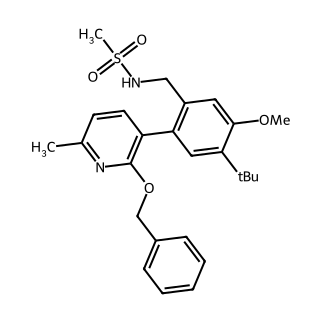 COc1cc(CNS(C)(=O)=O)c(-c2ccc(C)nc2OCc2ccccc2)cc1C(C)(C)C